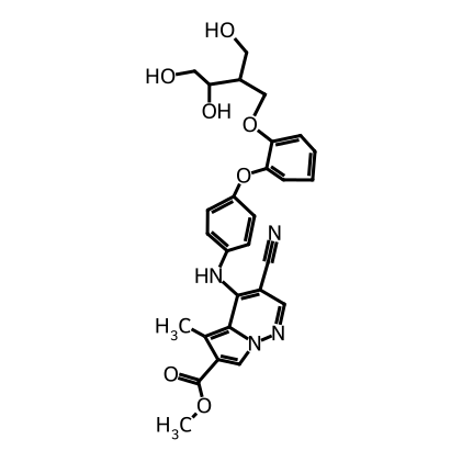 COC(=O)c1cn2ncc(C#N)c(Nc3ccc(Oc4ccccc4OCC(CO)C(O)CO)cc3)c2c1C